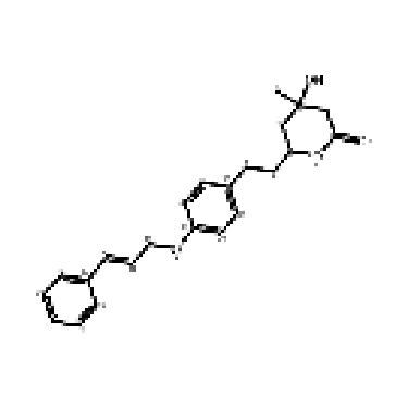 CC1(O)CC(=O)OC(CCc2ccc(OCC=Cc3ccccc3)cc2)C1